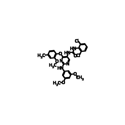 COc1cc(Nc2ncc(NC(=O)Nc3c(Cl)cccc3Cl)c(Oc3ccc(C)cc3OC)n2)cc(OC)c1